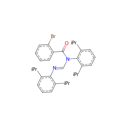 CC(C)c1cccc(C(C)C)c1/N=C/N(C(=O)c1ccccc1Br)c1c(C(C)C)cccc1C(C)C